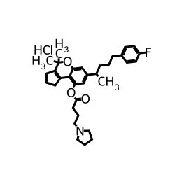 CC(CCCc1ccc(F)cc1)c1cc(OC(=O)CCCN2CCCC2)c2c(c1)OC(C)(C)C1=C2CCC1.Cl